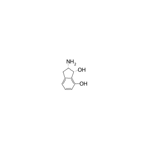 N[C@H]1Cc2cccc(O)c2[C@H]1O